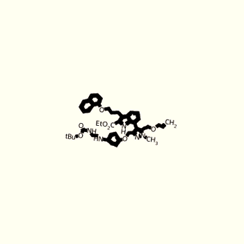 C=CCOCc1c(-c2cccc3c(CCCOc4cccc5ccccc45)c(C(=O)OCC)[nH]c23)c(COc2ccc(NCCNC(=O)OC(C)(C)C)cc2)nn1C